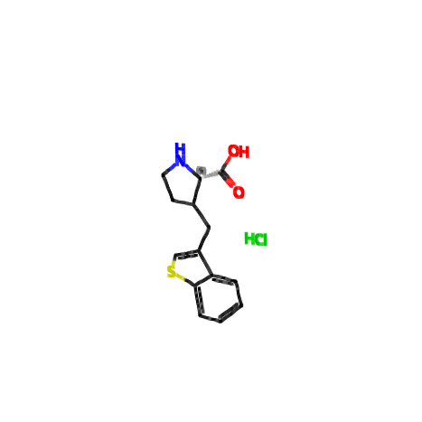 Cl.O=C(O)[C@H]1NCCC1Cc1csc2ccccc12